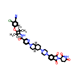 CC1(C)C(NC(=O)c2ccc(N3CC[C@@H]4C[C@H](N5CCN(c6ccc7c(c6)C(=O)N(C6CCC(=O)NC6=O)C7=O)CC5)CC[C@@H]4C3)nc2)C(C)(C)C1Oc1ccc(C#N)c(Cl)c1